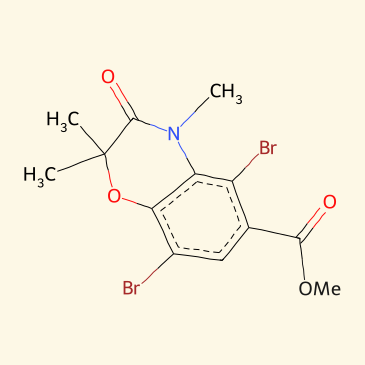 COC(=O)c1cc(Br)c2c(c1Br)N(C)C(=O)C(C)(C)O2